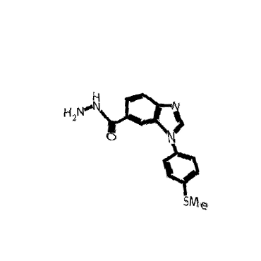 CSc1ccc(-n2cnc3ccc(C(=O)NN)cc32)cc1